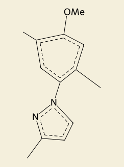 COc1cc(C)c(-n2ccc(C)n2)cc1C